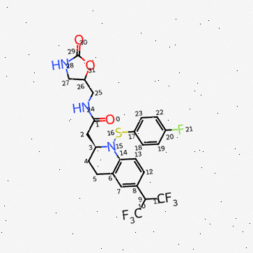 O=C(C[C@@H]1CCc2cc(C(C(F)(F)F)C(F)(F)F)ccc2N1Sc1ccc(F)cc1)NCC1CNC(=O)O1